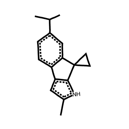 Cc1cc2c([nH]1)C1(CC1)c1cc(C(C)C)ccc1-2